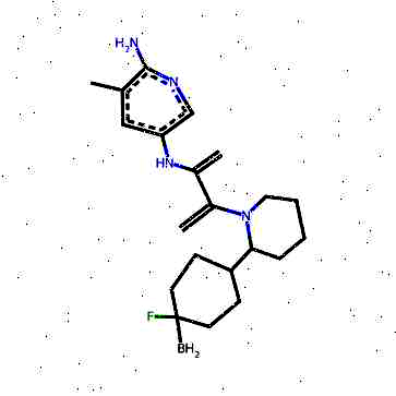 BC1(F)CCC(C2CCCCN2C(=C)C(=C)Nc2cnc(N)c(C)c2)CC1